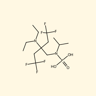 CCN(CC)C(CN(C(C)C)P(=O)(O)O)(CC(F)(F)F)CC(F)(F)F